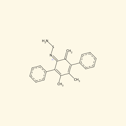 C=C1C(c2ccccc2)=C(C)C(C)=C(c2ccccc2)/C1=N/SN